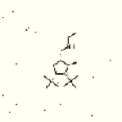 CCNC[C@H]1C[C@@H](C(C)(C)C)N(C(C)(C)C)[C@@H]1C